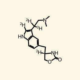 [2H]c1[nH]c2ccc(C[C@@]3([2H])COC(=O)N3)cc2c1C([2H])([2H])CN(C)C